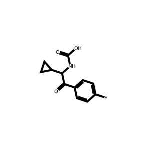 O=C(O)NC(C(=O)c1ccc(F)cc1)C1CC1